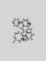 C/C1=C/C=C\C(c2ccc3nccc(N4CCOCC4)c3c2)=C(\c2cccc(C)c2)NC1